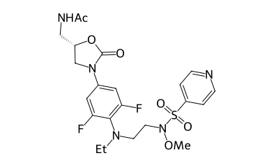 CCN(CCN(OC)S(=O)(=O)c1ccncc1)c1c(F)cc(N2C[C@H](CNC(C)=O)OC2=O)cc1F